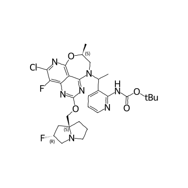 CC(c1cccnc1NC(=O)OC(C)(C)C)N1C[C@H](C)Oc2nc(Cl)c(F)c3nc(OC[C@@]45CCCN4C[C@H](F)C5)nc1c23